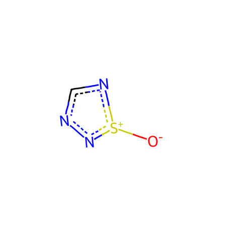 [O-][s+]1ncnn1